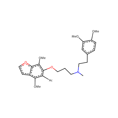 COc1ccc(CCN(C)CCCOc2c(C(C)=O)c(OC)c3ccoc3c2OC)cc1OC